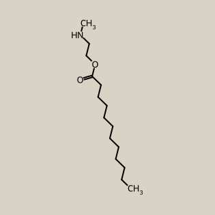 CCCCCCCCCCCC(=O)OCCNC